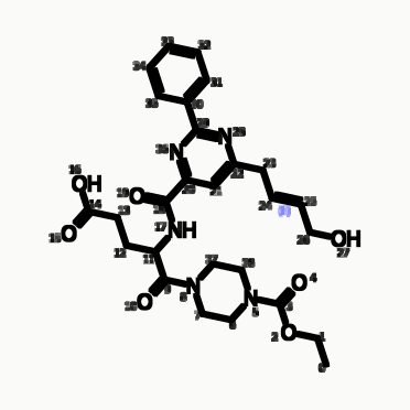 CCOC(=O)N1CCN(C(=O)C(CCC(=O)O)NC(=O)c2cc(C/C=C/CO)nc(-c3ccccc3)n2)CC1